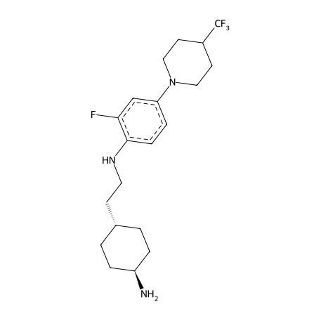 N[C@H]1CC[C@H](CCNc2ccc(N3CCC(C(F)(F)F)CC3)cc2F)CC1